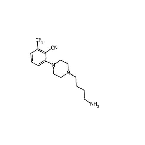 N#Cc1c(N2CCN(CCCCN)CC2)cccc1C(F)(F)F